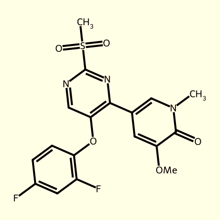 COc1cc(-c2nc(S(C)(=O)=O)ncc2Oc2ccc(F)cc2F)cn(C)c1=O